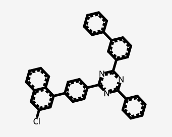 Clc1cc(-c2ccc(-c3nc(-c4ccccc4)nc(-c4cccc(-c5ccccc5)c4)n3)cc2)c2ccccc2c1